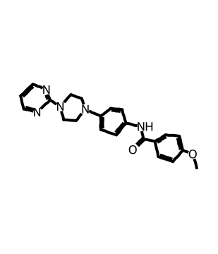 COc1ccc(C(=O)Nc2ccc(N3CCN(c4ncccn4)CC3)cc2)cc1